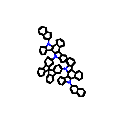 c1ccc2c(c1)-c1cc(-n3c4ccccc4c4c5ccccc5c5c(c6ccccc6n5-c5ccc6ccccc6c5)c43)ccc1C21c2ccccc2-c2ccc(-n3c4ccccc4c4c5ccccc5c5c(c6ccccc6n5-c5ccc6ccccc6c5)c43)cc21